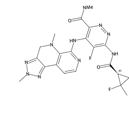 CNC(=O)c1nnc(NC(=O)[C@H]2CC2(C)F)c(F)c1Nc1nccc2c1N(C)Cc1nn(C)nc1-2